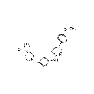 COc1ccc(-c2cnc(Nc3ccc(CN4CCN(C(C)=O)CC4)cc3)nc2)cc1